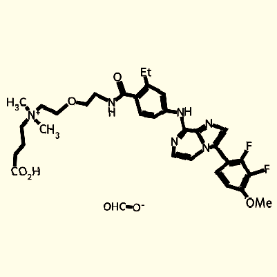 CCc1cc(Nc2nccn3c(-c4ccc(OC)c(F)c4F)cnc23)ccc1C(=O)NCCOCC[N+](C)(C)CCCC(=O)O.O=C[O-]